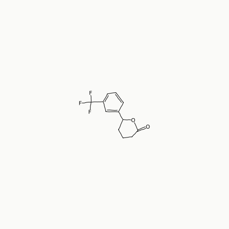 O=C1CCCC(c2cccc(C(F)(F)F)c2)O1